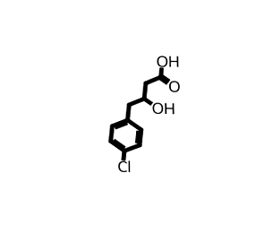 O=C(O)CC(O)Cc1ccc(Cl)cc1